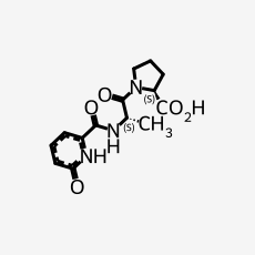 C[C@H](NC(=O)c1cccc(=O)[nH]1)C(=O)N1CCC[C@H]1C(=O)O